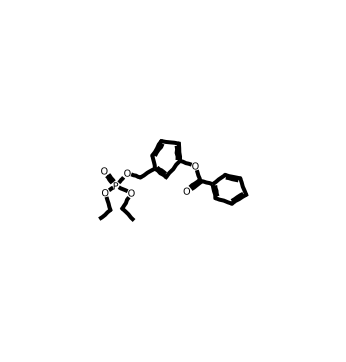 CCOP(=O)(OCC)OCc1cccc(OC(=O)c2ccccc2)c1